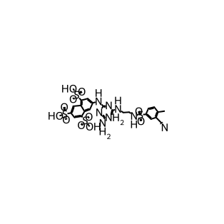 C=C(/N=C(\N=C(N)N)Nc1cc(S(=O)(=O)O)c2cc(S(=O)(=O)O)cc(S(=O)(=O)O)c2c1)NCCNS(=O)(=O)c1ccc(C)c(C#N)c1